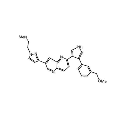 CNCCn1ccc(-c2cnc3ccc(-c4c[nH]nc4-c4cccc(COC)c4)nc3c2)n1